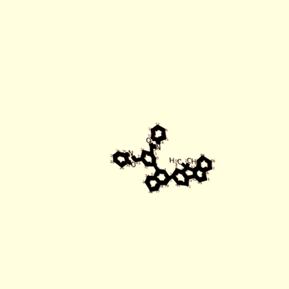 CC1(C)c2cc(-c3cc(-c4cc(-c5nc6ccccc6o5)cc(-c5nc6ccccc6o5)c4)c4ccccc4c3)ccc2-c2ccc3ccccc3c21